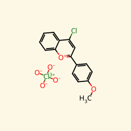 COc1ccc(-c2cc(Cl)c3ccccc3[o+]2)cc1.[O-][Cl+3]([O-])([O-])[O-]